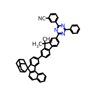 CC1(C)c2cc(-c3ccc4c(c3)-c3c(ccc5ccccc35)C43C4CC5CC(C4)CC3C5)ccc2-c2ccc(-c3nc(-c4ccccc4)nc(-c4cccc(C#N)c4)n3)cc21